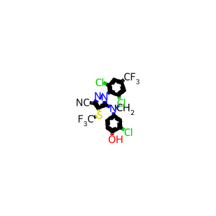 C=[N+](c1ccc(O)c(Cl)c1)c1c(SC(F)(F)F)c(C#N)nn1-c1c(Cl)cc(C(F)(F)F)cc1Cl